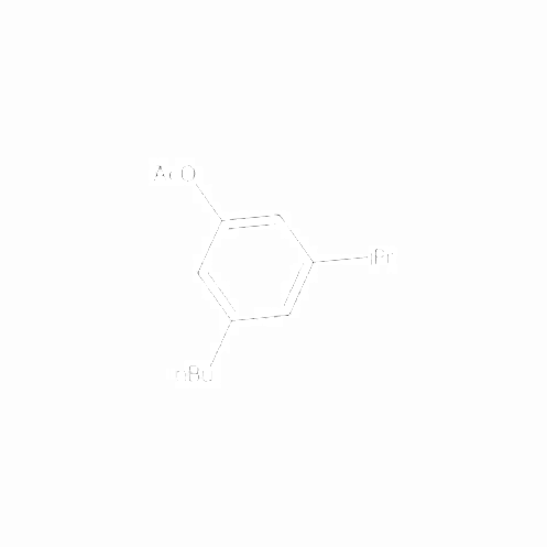 [CH2]C(C)c1cc(CCCC)cc(OC(C)=O)c1